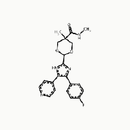 CNC(=O)C1(C)COC(c2nc(-c3ccc(F)cc3)c(-c3ccncc3)[nH]2)OC1